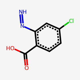 N=Nc1cc(Cl)ccc1C(=O)O